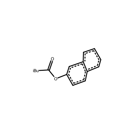 CCC(C)C(=O)Oc1ccc2ccccc2c1